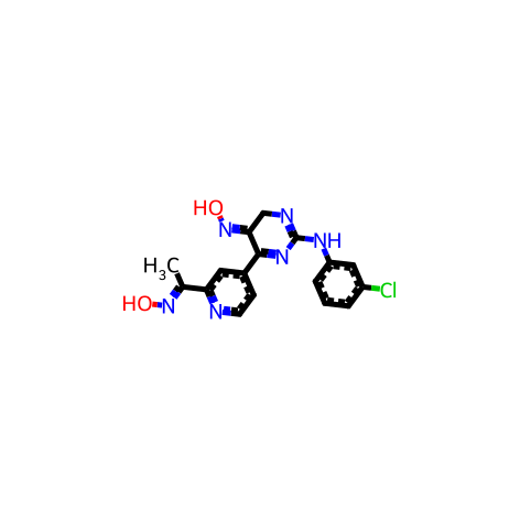 CC(=NO)c1cc(C2=NC(Nc3cccc(Cl)c3)=NCC2=NO)ccn1